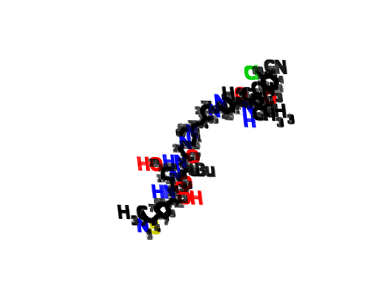 Cc1ncsc1-c1ccc([C@H](CO)NC(=O)C2C[C@@H](O)CN2C(=O)[C@@H](NC(=O)CN2CCN(CCC3CCN(c4ccc(C(=O)N[C@H]5C(C)(C)[C@H](Oc6ccc(C#N)c(Cl)c6)C5(C)C)cn4)C3)CC2)C(C)(C)C)cc1